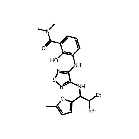 CCCC(CC)C(Nc1nsnc1Nc1cccc(C(=O)N(C)C)c1O)c1ccc(C)o1